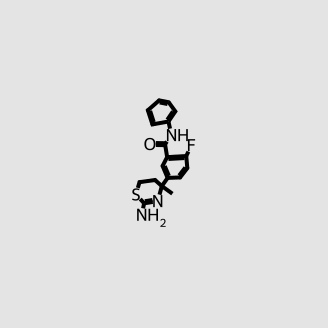 CC1(c2ccc(F)c(C(=O)Nc3ccccc3)c2)CCSC(N)=N1